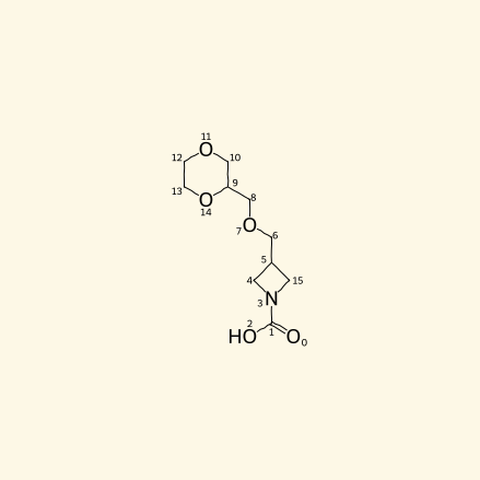 O=C(O)N1CC(COCC2COCCO2)C1